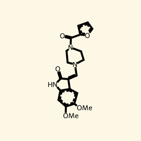 COc1cc2c(cc1OC)C(=CN1CCN(C(=O)c3ccco3)CC1)C(=O)N2